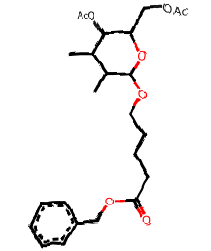 CC(=O)OCC1OC(OCCCCC(=O)OCc2ccccc2)C(C)C(C)C1OC(C)=O